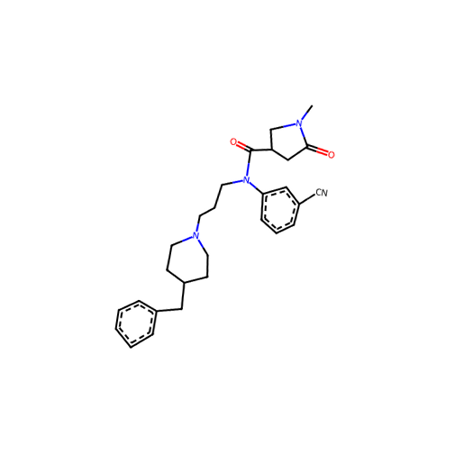 CN1CC(C(=O)N(CCCN2CCC(Cc3ccccc3)CC2)c2cccc(C#N)c2)CC1=O